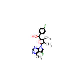 Cc1ncnc2c1c(F)cn2C1OC(C(O)c2ccc(F)cc2)C(C)C1C